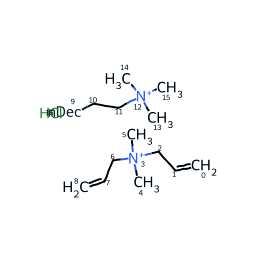 C=CC[N+](C)(C)CC=C.CCCCCCCCCCCC[N+](C)(C)C.Cl